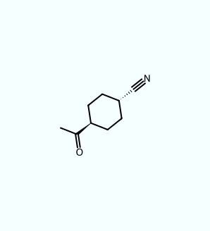 CC(=O)[C@H]1CC[C@H](C#N)CC1